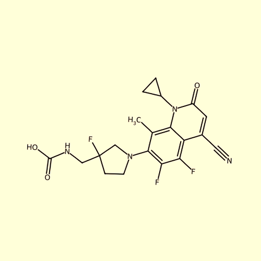 Cc1c(N2CCC(F)(CNC(=O)O)C2)c(F)c(F)c2c(C#N)cc(=O)n(C3CC3)c12